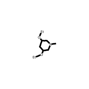 CCOC1CC(OCC)CN(C)C1